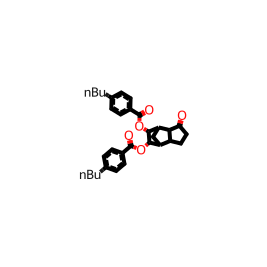 CCCCc1ccc(C(=O)OC2C3CC(C2OC(=O)c2ccc(CCCC)cc2)C2C(=O)CCC32)cc1